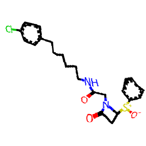 O=C(CN1C(=O)CC1[S+]([O-])c1ccccc1)NCCCCCCc1ccc(Cl)cc1